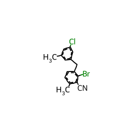 Cc1cc(Cl)cc(Cc2ccc(C)c(C#N)c2Br)c1